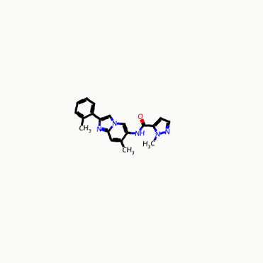 Cc1cc2nc(-c3ccccc3C)cn2cc1NC(=O)c1ccnn1C